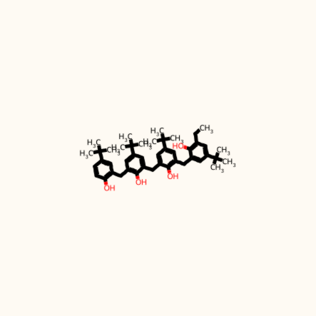 CCc1cc(C(C)(C)C)cc(Cc2cc(C(C)(C)C)cc(Cc3cc(C(C)(C)C)cc(Cc4cc(C(C)(C)C)ccc4O)c3O)c2O)c1O